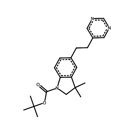 CC(C)(C)OC(=O)N1CC(C)(C)c2cc(CCc3cncnc3)ccc21